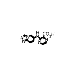 O=C(O)c1nccnc1Nc1ccc2nncn2c1